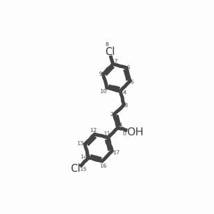 OC(=CCc1ccc(Cl)cc1)c1ccc(Cl)cc1